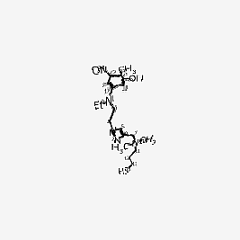 CCN(CCn1cc(C[N+](C)(C)CCCS)nn1)c1cc(O)c(C)c(N=O)c1